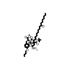 CCCCCCCC(=O)CCCCCC/C=C/[C@H](C(=O)N(N)[C@@H](Cc1ccc(OCCCC)cc1)C(=O)OC)[C@@](O)(CC(N)=O)C(=O)OC(C)(C)C